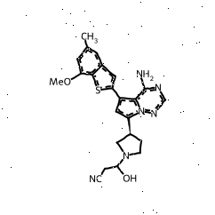 COc1cc(C)cc2cc(-c3cc([C@H]4CCN(C(O)CC#N)C4)n4ncnc(N)c34)sc12